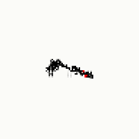 CN(C)c1ccc(-c2ccc(-c3nc4ccc(NCCOCCNc5cccc6c5C(=O)N(C5CCC(=O)NC5=O)C6=O)cc4s3)cc2)cn1